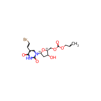 C=CCOC(=O)OC[C@@H]1O[C@H](n2cc(C=CBr)c(=O)[nH]c2=O)CC1O